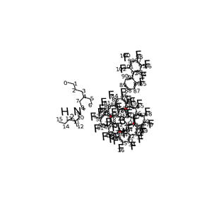 CCCCC(CC)CC[NH2+]CC(C)CCC.Fc1c(F)c(F)c2c([B-](c3c(F)c(F)c(F)c4c(F)c(F)c(F)c(F)c34)(c3c(F)c(F)c(F)c4c(F)c(F)c(F)c(F)c34)c3c(F)c(F)c(F)c4c(F)c(F)c(F)c(F)c34)c(F)c(F)c(F)c2c1F.Fc1ccccc1-c1c(F)c(F)c(F)c(F)c1F